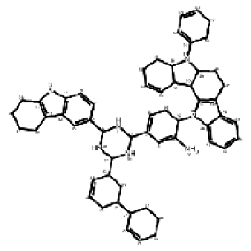 NC1=CC(C2NC(c3ccc4sc5c(c4c3)CCCC5)NC(C3C=CCC(C4C=CCCC4)C3)N2)=CCC1n1c2c(c3ccccc31)CCC1C2C2C=CCCC2N1C1=CC=CCC1